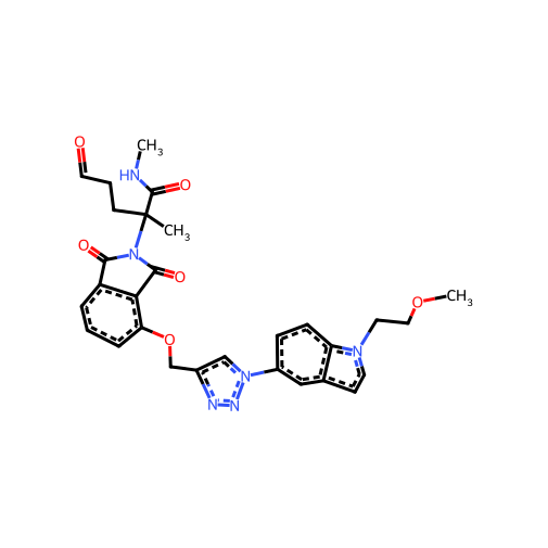 CNC(=O)C(C)(CCC=O)N1C(=O)c2cccc(OCc3cn(-c4ccc5c(ccn5CCOC)c4)nn3)c2C1=O